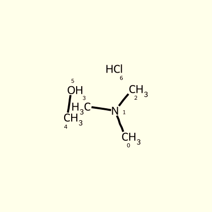 CN(C)C.CO.Cl